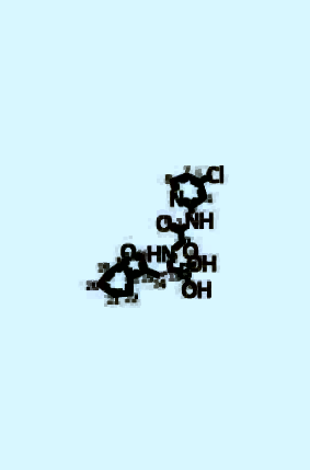 O=C(Nc1cc(Cl)ccn1)C(=O)N[C@@H](Cc1coc2ccccc12)B(O)O